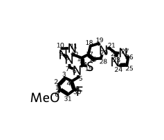 COc1ccc(CN2Cn3ncnc3-c3c2sc2c3CCN(Cc3ncccn3)C2)c(F)c1